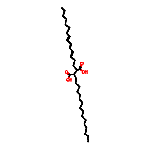 CCCCCCCC=CC=CC=CCCC(C(=O)O)C(CCCCCCCCCCCCCCCC)C(=O)O